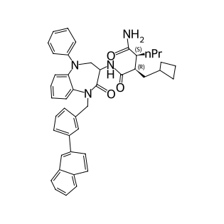 CCC[C@H](C(N)=O)[C@@H](CC1CCC1)C(=O)NC1CN(c2ccccc2)c2ccccc2N(Cc2cccc(-c3ccc4ccccc4c3)c2)C1=O